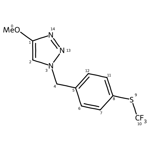 COc1cn(Cc2ccc(SC(F)(F)F)cc2)nn1